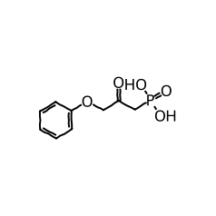 O=C(COc1ccccc1)CP(=O)(O)O